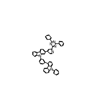 c1ccc(-c2nc(-c3ccccc3)nc(-c3cc(-c4ccc5c6ccccc6n(-c6cccc(-c7cccc8c7c7ccccc7n8-c7ccccc7)c6)c5c4)ccn3)n2)cc1